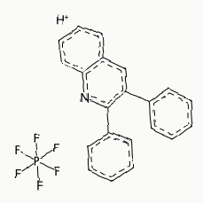 F[P-](F)(F)(F)(F)F.[H+].c1ccc(-c2cc3ccccc3nc2-c2ccccc2)cc1